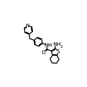 Nc1sc2c(c1C(=O)Nc1ccc(Cc3ccncc3)cc1)CCCC2